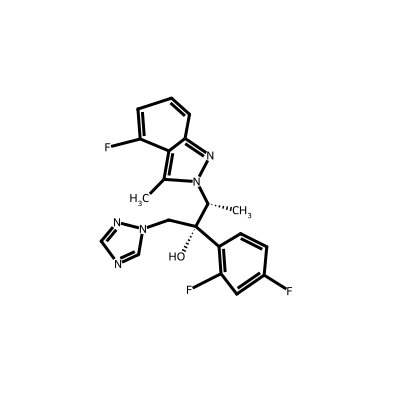 Cc1c2c(F)cccc2nn1[C@H](C)[C@](O)(Cn1cncn1)c1ccc(F)cc1F